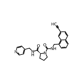 C#Cc1ccc2cccc(CNC(=O)N3CCC[C@H]3C(=O)NCc3ccncc3)c2c1